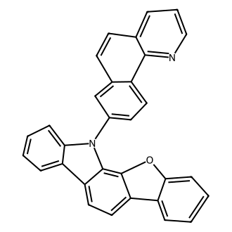 c1cnc2c(c1)ccc1cc(-n3c4ccccc4c4ccc5c6ccccc6oc5c43)ccc12